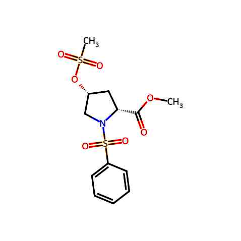 COC(=O)[C@H]1C[C@@H](OS(C)(=O)=O)CN1S(=O)(=O)c1ccccc1